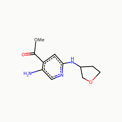 COC(=O)c1cc(NC2CCOC2)ncc1N